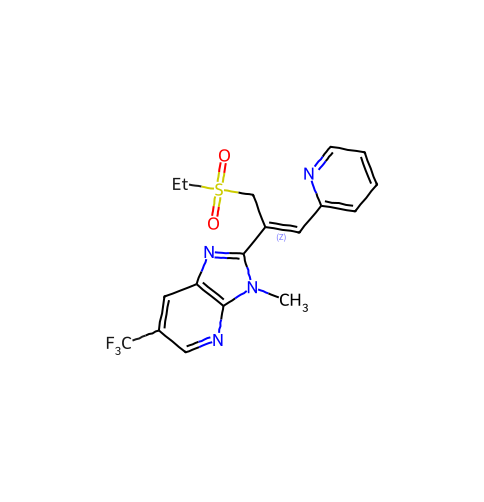 CCS(=O)(=O)C/C(=C\c1ccccn1)c1nc2cc(C(F)(F)F)cnc2n1C